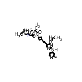 CCCNc1nc(Nc2ccnc(F)c2)ncc1C#CC1CC(NC(=O)[C@H](C)N(C)C(=O)/C=C/CN(C)C)C1